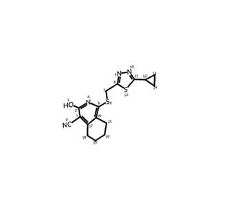 N#Cc1c(O)nc(SCc2nnc(C3CC3)s2)c2c1CCCC2